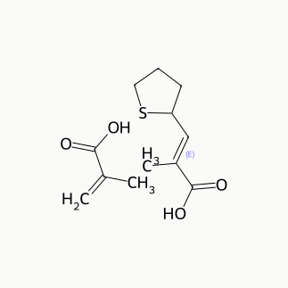 C/C(=C\C1CCCS1)C(=O)O.C=C(C)C(=O)O